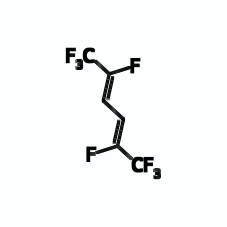 FC(=CC=C(F)C(F)(F)F)C(F)(F)F